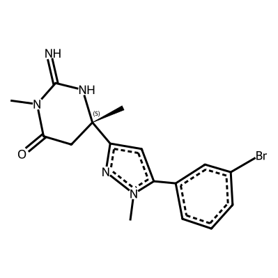 CN1C(=N)N[C@](C)(c2cc(-c3cccc(Br)c3)n(C)n2)CC1=O